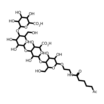 CC(=O)CCCCC(=O)NCCOC1OC(CO)C(OC2OC(C(=O)O)C(O)C(OC3OC(CO)C(OC4OC(C(=O)O)C(O)C(O)C4O)C(O)C3O)C2O)C(O)C1O